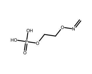 C=NOCCOP(=O)(O)O